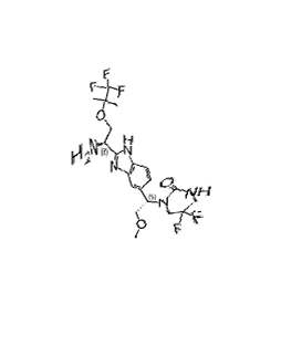 COC[C@H](c1ccc2[nH]c([C@@H](N)COC(C)(C)C(F)(F)F)nc2c1)N1CC(F)(F)CNC1=O